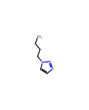 CCCCn1c[c]nn1